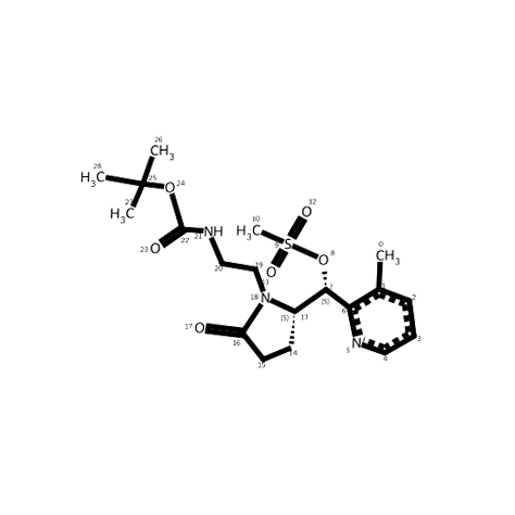 Cc1cccnc1[C@@H](OS(C)(=O)=O)[C@@H]1CCC(=O)N1CCNC(=O)OC(C)(C)C